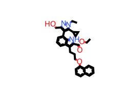 CCOC(=O)c1[nH]c2c(-c3c(CO)nn(CC)c3C3CC3)cccc2c1CCCOc1cccc2ccccc12